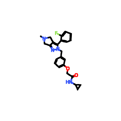 CN1Cc2nn(Cc3cccc(OCC(=O)NC4CC4)c3)c(-c3ccccc3F)c2C1